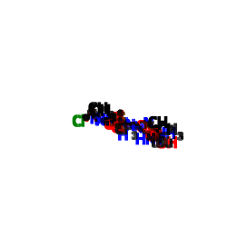 Cc1ncsc1-c1ccc([C@H](C)NC(=O)[C@@H]2C[C@@H](O)CN2C(=O)[C@@H](NC(=O)CCCCCC(=O)N2CC3(CCN(CC[C@H](CSc4ccccc4)Nc4ccc(S(=O)(=O)NC(=O)c5ccc(N6CCN(CC7=C(c8ccc(Cl)cc8)CCC(C)(C)C7)CC6)cc5)cc4S(=O)(=O)C(F)(F)F)CC3)C2)C(C)(C)C)cc1